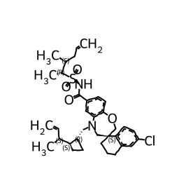 C=CC[C@H](C)[C@@H](C)S(=O)(=O)NC(=O)c1ccc2c(c1)N(C[C@@H]1CC[C@H]1[C@@H](C)C=C)C[C@@]1(CCCc3cc(Cl)ccc31)CO2